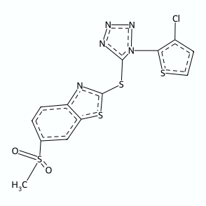 CS(=O)(=O)c1ccc2nc(Sc3nnnn3-c3sccc3Cl)sc2c1